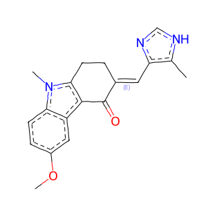 COc1ccc2c(c1)c1c(n2C)CC/C(=C\c2nc[nH]c2C)C1=O